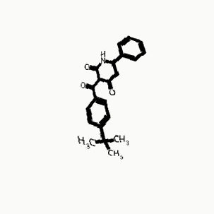 CC(C)(C)c1ccc(C(=O)C2C(=O)CC(c3ccccc3)NC2=O)cc1